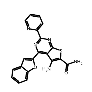 NC(=O)c1sc2nc(-c3ccccn3)nc(-c3cc4ccccc4o3)c2c1N